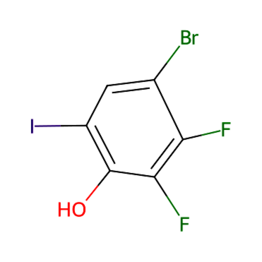 Oc1c(I)cc(Br)c(F)c1F